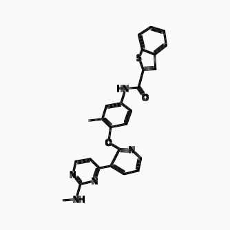 CNc1nccc(-c2cccnc2Oc2ccc(NC(=O)c3cc4ccccc4s3)cc2C)n1